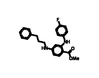 COC(=O)c1ccc(NCCCc2ccccc2)cc1Nc1ccc(F)cc1